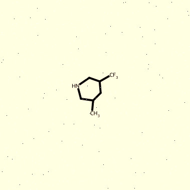 CC1CNCC(C(F)(F)F)C1